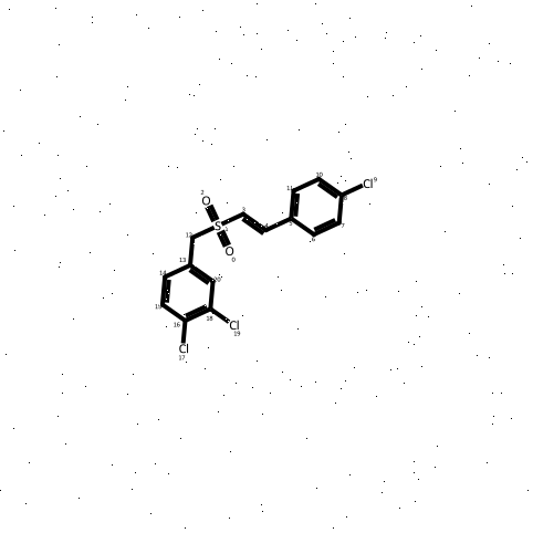 O=S(=O)(/C=C/c1ccc(Cl)cc1)Cc1ccc(Cl)c(Cl)c1